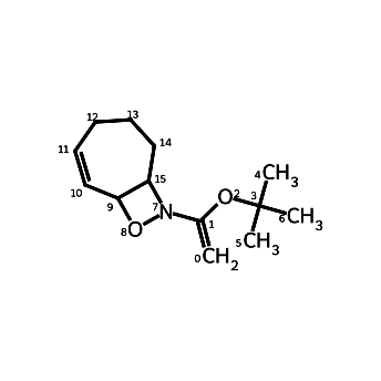 C=C(OC(C)(C)C)N1OC2C=CCCCC21